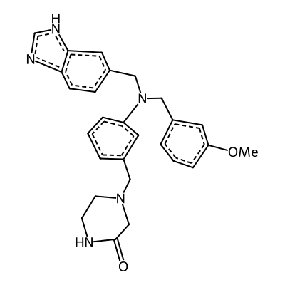 COc1cccc(CN(Cc2ccc3nc[nH]c3c2)c2cccc(CN3CCNC(=O)C3)c2)c1